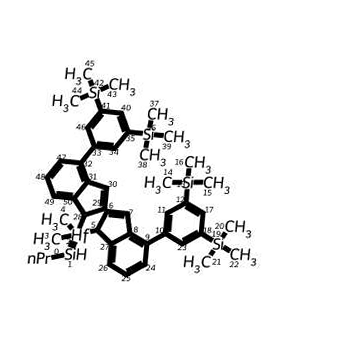 CCC[SiH]=[Hf]([CH3])([CH3])([CH]1C=Cc2c(-c3cc([Si](C)(C)C)cc([Si](C)(C)C)c3)cccc21)[CH]1C=Cc2c(-c3cc([Si](C)(C)C)cc([Si](C)(C)C)c3)cccc21